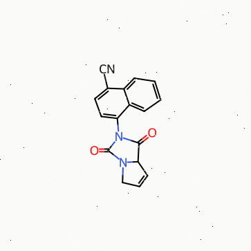 N#Cc1ccc(N2C(=O)C3C=CCN3C2=O)c2ccccc12